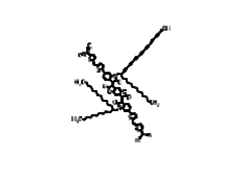 [C-]#[N+]C([N+]#[C-])=c1cc/c(=C\c2ccc(-c3ccc4c(c3)N(CC(C#CC#CC#CC#CC#CC#CC#CC#C)CCCCCCCCCCCC)C(=O)/C4=C3/C(=O)Oc4cc5c(cc43)OC(=O)/C5=C3/C(=O)N(CC(CCCCCCCCCC)CCCCCCCCCCCC)c4cc(-c5ccc(/C=c6\ccc(=C(C#N)C#N)s6)s5)ccc43)s2)s1